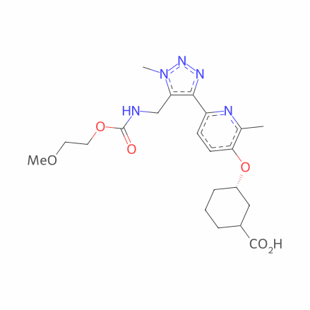 COCCOC(=O)NCc1c(-c2ccc(O[C@H]3CCCC(C(=O)O)C3)c(C)n2)nnn1C